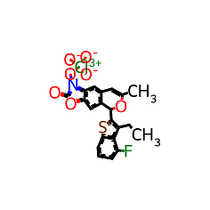 CCc1c(C2OC(C)=Cc3cc4c(cc32)oc(=O)n4O[Cl+3]([O-])([O-])[O-])sc2cccc(F)c12